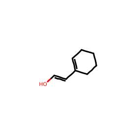 OC=CC1=CCCCC1